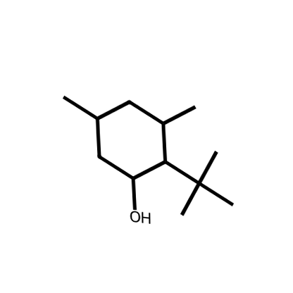 CC1CC(C)C(C(C)(C)C)C(O)C1